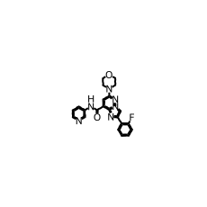 O=C(Nc1cccnc1)c1cc(N2CCOCC2)nn2cc(-c3ccccc3F)nc12